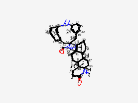 CN1C(=O)CC[C@]2(C)[C@H]3CC[C@]4(C)[C@@H](C5(NC=O)Cc6cccc(c6)Nc6cccc(c6)C5)CC[C@H]4[C@@H]3CC[C@@H]12